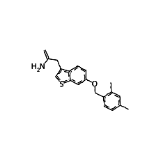 C=C(N)Cc1csc2cc(OCc3ccc(C)cc3C)ccc12